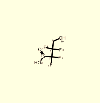 O=S(O)C(F)(F)C(F)(F)CO